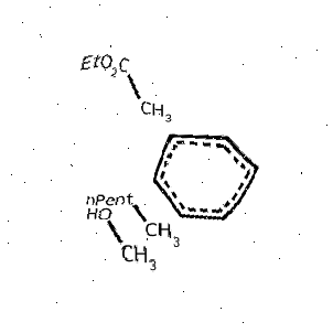 CCCCCC.CCOC(C)=O.CO.c1ccccc1